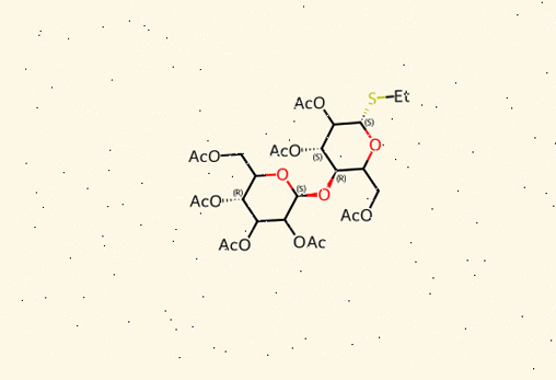 CCS[C@@H]1OC(COC(C)=O)[C@@H](O[C@@H]2OC(COC(C)=O)[C@@H](OC(C)=O)C(OC(C)=O)C2OC(C)=O)[C@H](OC(C)=O)C1OC(C)=O